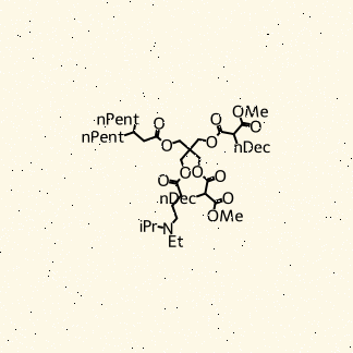 CCCCCCCCCCC(C(=O)OC)C(=O)OCC(COC(=O)CCCN(CC)C(C)C)(COC(=O)CC(CCCCC)CCCCC)COC(=O)C(CCCCCCCCCC)C(=O)OC